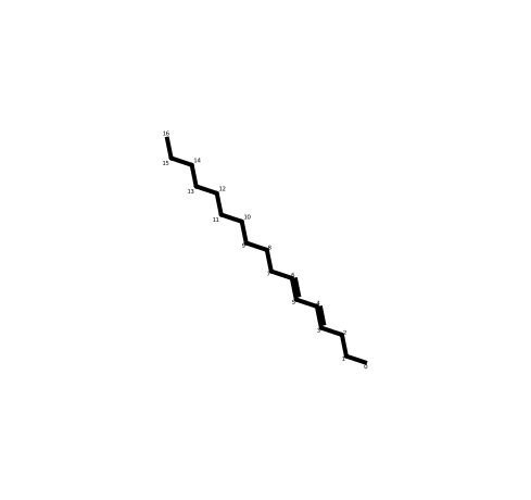 CCCC=CC=CCCCCCCCCCC